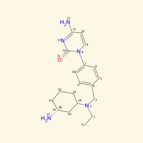 CCN(Cc1ccc(-n2ccc(N)nc2=O)cc1)C1CCC[C@@H](N)C1